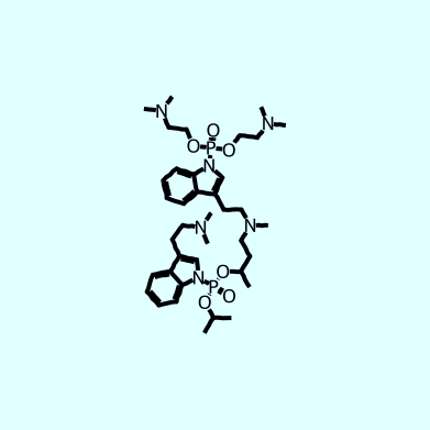 CC(C)OP(=O)(OC(C)CCN(C)CCc1cn(P(=O)(OCCN(C)C)OCCN(C)C)c2ccccc12)n1cc(CCN(C)C)c2ccccc21